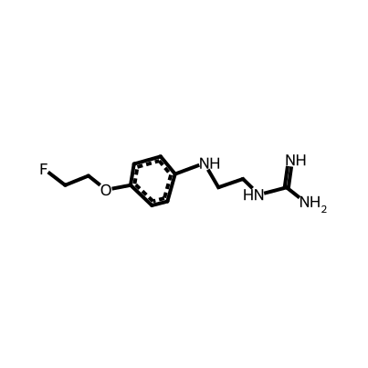 N=C(N)NCCNc1ccc(OCCF)cc1